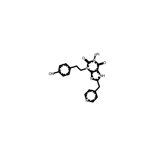 CCCn1c(=O)c2[nH]c(Cc3ccncc3)nc2n(CCc2ccc(N=O)cc2)c1=O